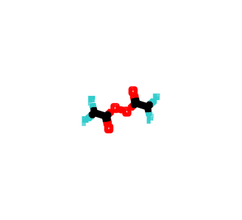 O=C(OOC(=O)C(F)F)C(F)F